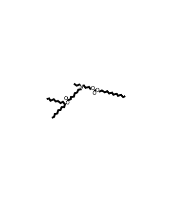 CCCCCCCCCCCCOC(=O)OCCCCN(CCC)CCCCCCCC(=O)OC(CCCCCCCC)CCCCCCCC